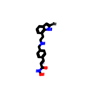 CC(=O)c1cc2cccc(CCNCc3ccc(/C=C/C(=O)NO)cc3)c2[nH]1